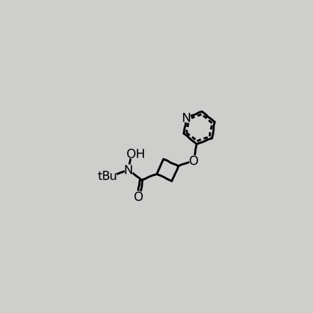 CC(C)(C)N(O)C(=O)C1CC(Oc2cccnc2)C1